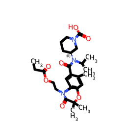 CCC(=O)OCCN1C(=O)C(C)(C)Oc2cc(C)c(C(=O)N(C(C)C)[C@@H]3CCCN(C(=O)O)C3)cc21